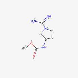 CC(C)(C)OC(=O)NC1CCN(C(=N)N)C1